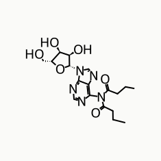 CCCC(=O)N(C(=O)CCC)c1ncnc2c1ncn2[C@@H]1O[C@H](CO)[C@@H](O)[C@H]1O